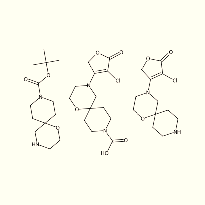 CC(C)(C)OC(=O)N1CCC2(CC1)CNCCO2.O=C1OCC(N2CCOC3(CCN(C(=O)O)CC3)C2)=C1Cl.O=C1OCC(N2CCOC3(CCNCC3)C2)=C1Cl